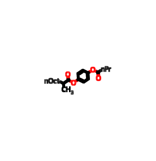 CCCCCCCCC(C)C(=O)Oc1ccc(OC(=O)CCC)cc1